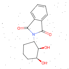 O=C1c2ccccc2C(=O)N1[C@H]1CCC[C@H](O)[C@@H]1O